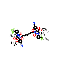 CCOC(=O)C1=C(C)N(c2cccc(C(C)(F)F)c2)C(=O)N(C(=O)CCCCCCCCC(=O)N2C(=O)N(c3cccc(C(F)(F)F)c3)C(C)=C(C(=O)OCC)C2c2ccc(C#N)cc2)C1c1ccc(C#N)cc1